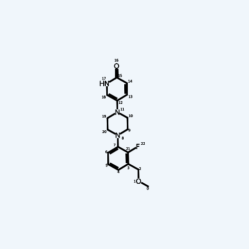 COCc1cccc(N2CCN(c3ccc(=O)[nH]c3)CC2)c1F